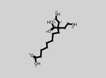 O=C(O)CCCCCCCC(CCS)(CCS)C(=O)O